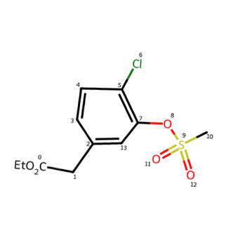 CCOC(=O)Cc1ccc(Cl)c(OS(C)(=O)=O)c1